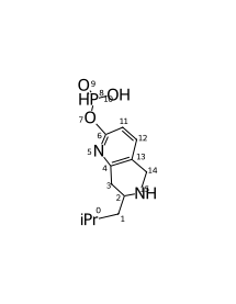 CC(C)CC1Cc2nc(O[PH](=O)O)ccc2CN1